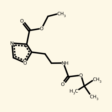 CCOC(=O)c1ncoc1CCNC(=O)OC(C)(C)C